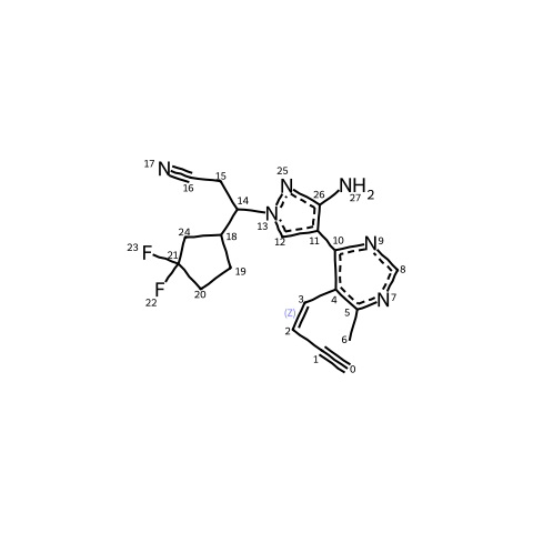 C#C/C=C\c1c(C)ncnc1-c1cn(C(CC#N)C2CCC(F)(F)C2)nc1N